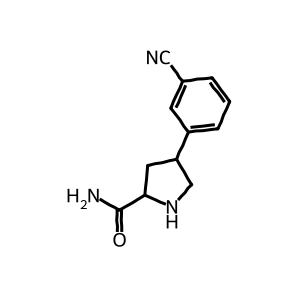 N#Cc1cccc(C2CNC(C(N)=O)C2)c1